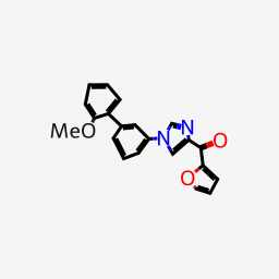 COc1ccccc1-c1cccc(-n2cnc(C(=O)c3ccco3)c2)c1